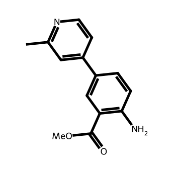 COC(=O)c1cc(-c2ccnc(C)c2)ccc1N